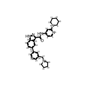 O=C(Nc1ccnc(N2CCCCC2)c1)c1n[nH]c2ccc(-c3cncc(CN4CCCC4)c3)cc12